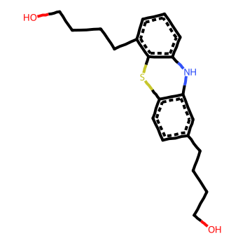 OCCCCc1ccc2c(c1)Nc1cccc(CCCCO)c1S2